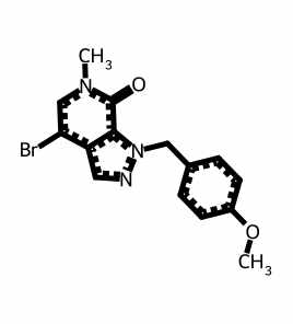 COc1ccc(Cn2ncc3c(Br)cn(C)c(=O)c32)cc1